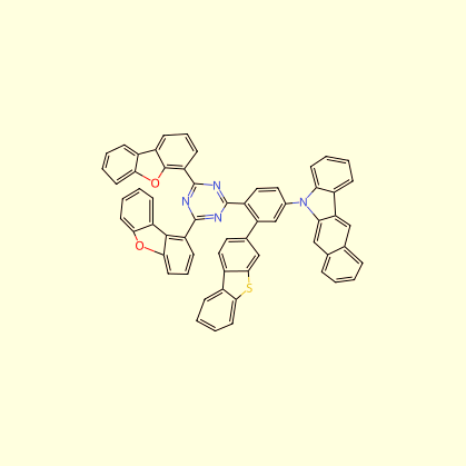 c1ccc2cc3c(cc2c1)c1ccccc1n3-c1ccc(-c2nc(-c3cccc4c3oc3ccccc34)nc(-c3cccc4oc5ccccc5c34)n2)c(-c2ccc3c(c2)sc2ccccc23)c1